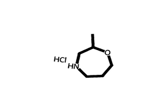 CC1CNCCCO1.Cl